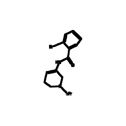 CCCN1CCC=C(NC(=O)c2ccccc2Br)C1